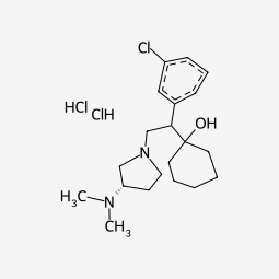 CN(C)[C@H]1CCN(CC(c2cccc(Cl)c2)C2(O)CCCCC2)C1.Cl.Cl